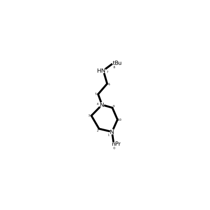 CCCN1CCN(CCNC(C)(C)C)CC1